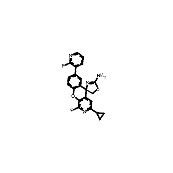 NC1=N[C@@]2(CS1)c1cc(-c3cccnc3F)ccc1Oc1c2cc(C2CC2)nc1F